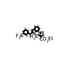 CCOC(=O)c1cnn(-c2cccc3cc(Cc4cccc(C(F)(F)F)c4)sc23)c1C